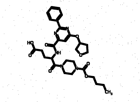 CCCCOC(=O)N1CCN(C(=O)C(CCC(=O)O)NC(=O)c2cc(OC3CCOC3)nc(-c3ccccc3)n2)CC1